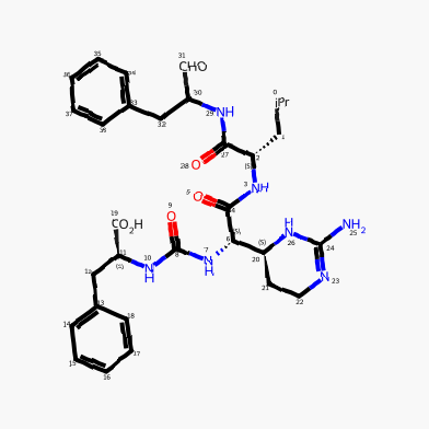 CC(C)C[C@H](NC(=O)[C@@H](NC(=O)N[C@@H](Cc1ccccc1)C(=O)O)[C@@H]1CCN=C(N)N1)C(=O)NC(C=O)Cc1ccccc1